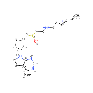 C=C/C=C/CCNCC[S+]([O-])CC1CCC(n2ccc3c(NC)ncnc32)C1